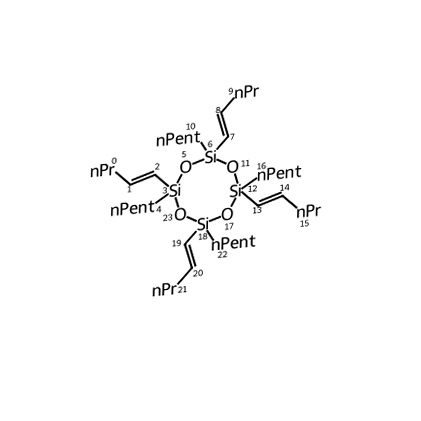 CCCC=C[Si]1(CCCCC)O[Si](C=CCCC)(CCCCC)O[Si](C=CCCC)(CCCCC)O[Si](C=CCCC)(CCCCC)O1